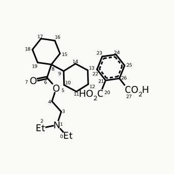 CCN(CC)CCOC(=O)C1(C2CCCCC2)CCCCC1.O=C(O)c1ccccc1C(=O)O